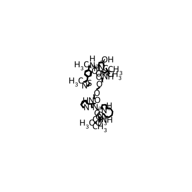 Cc1ncsc1-c1ccc([C@H](C)NC(=O)[C@@H]2C[C@@H](O)CN2C(=O)[C@@H](NC(=O)COCCOCC(=O)NC2(c3ccccn3)CN(C(=O)[C@@H]3CC[C@H]4CCCC[C@H](NC(=O)OC(C)(C)C)C(=O)N43)C2)C(C)(C)C)cc1